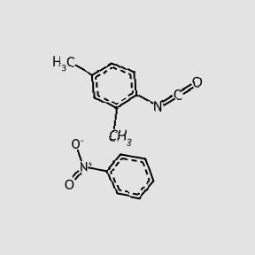 Cc1ccc(N=C=O)c(C)c1.O=[N+]([O-])c1ccccc1